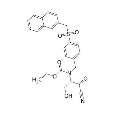 CCOC(=O)N(Cc1ccc(S(=O)(=O)Cc2ccc3ccccc3c2)cc1)[C@@H](CO)C(=O)C#N